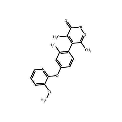 COc1cccnc1Oc1ccc(-c2c(C)n[nH]c(=O)c2C)c(C)c1